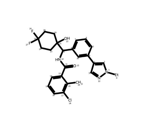 CCn1cc(-c2cccc(C(NC(=O)c3cccc(Cl)c3C)C3(O)CCC(F)(F)CC3)c2)cn1